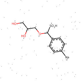 O=S(=O)(O)C(OCC(O)CO)c1cc[c]([Na])cc1